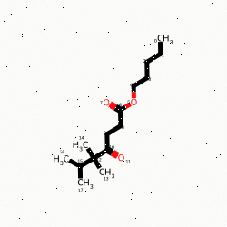 CCCCCOC(=O)CCC(=O)C(C)(C)C(C)C